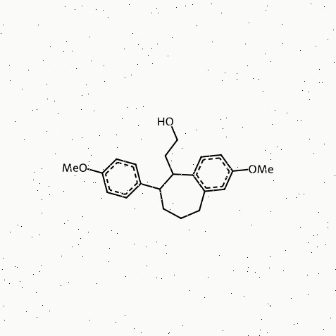 COc1ccc(C2CCCc3cc(OC)ccc3C2CCO)cc1